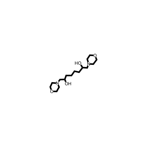 OC(CCCCC(O)CN1CCOCC1)CN1CCOCC1